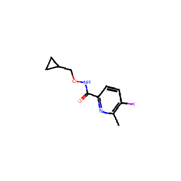 Cc1nc(C(=O)NOCC2CC2)ccc1I